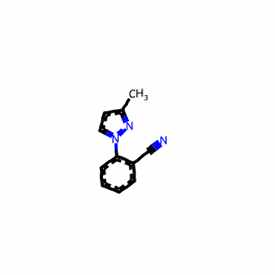 Cc1ccn(-c2ccccc2C#N)n1